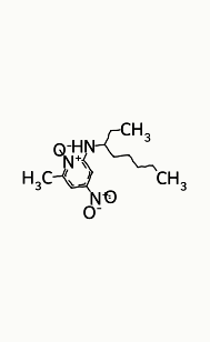 CCCCCC(CC)Nc1cc([N+](=O)[O-])cc(C)[n+]1[O-]